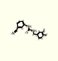 N#Cc1cccc(NC(=S)NCc2ccc(F)c(F)c2)c1